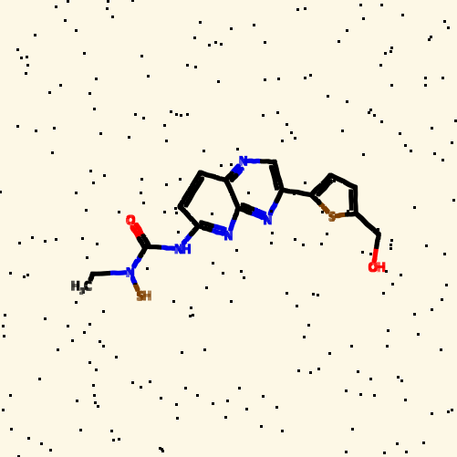 CCN(S)C(=O)Nc1ccc2ncc(-c3ccc(CO)s3)nc2n1